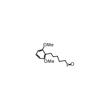 COc1cccc(OC)c1CCCCCP=O